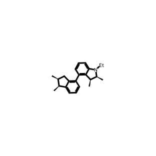 CCN1c2cccc(-c3cccc4c3C[C@H](C)[C@@H]4C)c2[C@H](C)[C@@H]1C